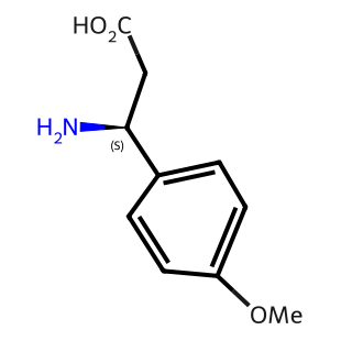 COc1ccc([C@@H](N)CC(=O)O)cc1